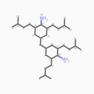 CC(C)CCC1CC(CC2CC(CCC(C)C)C(N)C(CCC(C)C)C2)CC(CCC(C)C)C1N